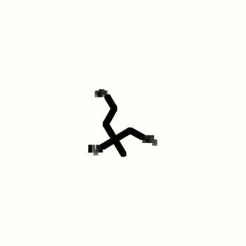 CCCCCC(C)(N)CN